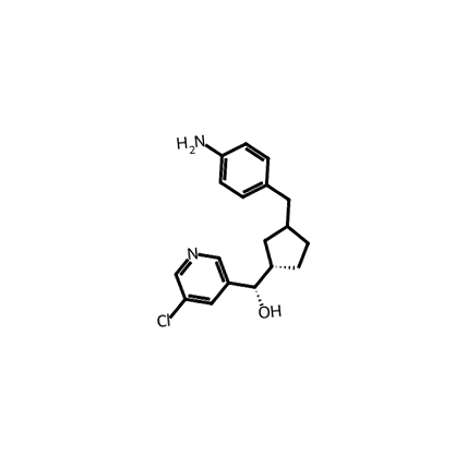 Nc1ccc(CC2CC[C@H]([C@H](O)c3cncc(Cl)c3)C2)cc1